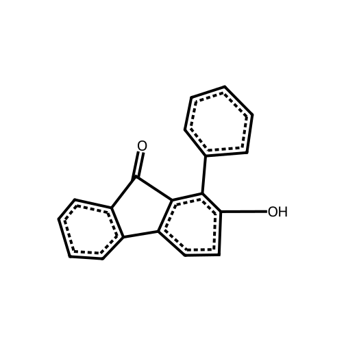 O=C1c2ccccc2-c2ccc(O)c(-c3ccccc3)c21